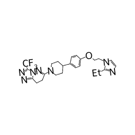 CCc1nccn1CCOc1ccc(C2CCN(C3=Nn4c(nnc4C(F)(F)F)CC3)CC2)cc1